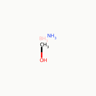 B.CO.N